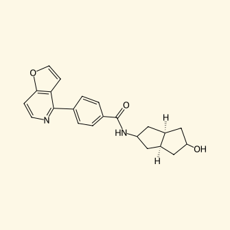 O=C(NC1C[C@H]2CC(O)C[C@H]2C1)c1ccc(-c2nccc3occc23)cc1